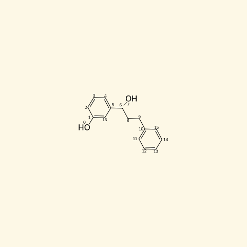 Oc1cccc([C@H](O)CCc2ccccc2)c1